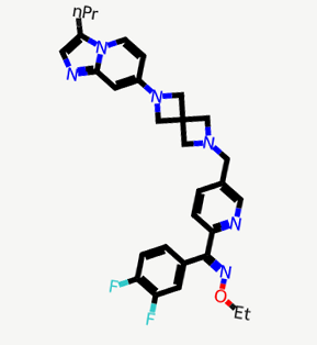 CCCc1cnc2cc(N3CC4(CN(Cc5ccc(C(=NOCC)c6ccc(F)c(F)c6)nc5)C4)C3)ccn12